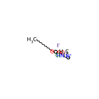 CCCCCCCCCCCCCCOc1ccc(OCC(=O)NCCc2cccc[n+]2CCC)c(Cl)c1.[I-]